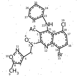 CC(=O)c1c([S+]([O-])Cc2cc(C)on2)nc2c(Br)ccc(Cl)c2c1Nc1ccccc1